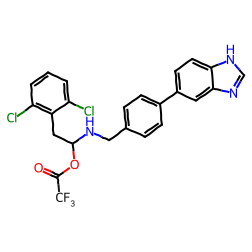 O=C(OC(Cc1c(Cl)cccc1Cl)NCc1ccc(-c2ccc3[nH]cnc3c2)cc1)C(F)(F)F